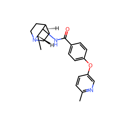 Cc1ccc(Oc2ccc(C(=O)N[C@@H]3C4CCN(CC4)[C@H]3C)cc2)cn1